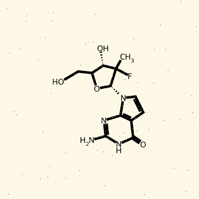 CC1(F)[C@@H](O)C(CO)O[C@H]1n1ccc2c(=O)[nH]c(N)nc21